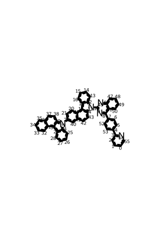 c1ccc(-c2ccc(-c3nc(-n4c5ccccc5c5c6ccc(-n7c8ccccc8c8c9ccccc9ccc87)cc6ccc54)nc4ccccc34)cc2)nc1